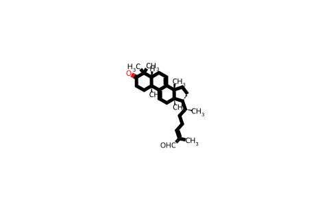 C/C(C=O)=C\CC[C@@H](C)[C@H]1CC[C@@]2(C)C3=CC[C@H]4C(C)(C)C(=O)CC[C@]4(C)C3=CC[C@]12C